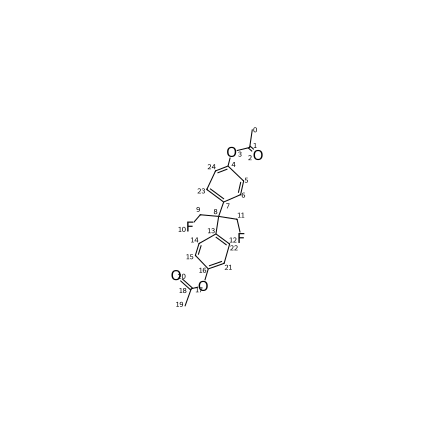 CC(=O)Oc1ccc(C(CF)(CF)c2ccc(OC(C)=O)cc2)cc1